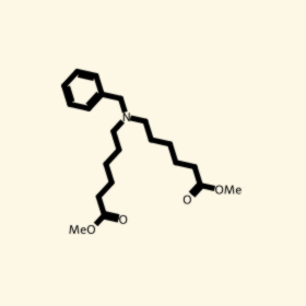 COC(=O)CCCCCN(CCCCCC(=O)OC)Cc1ccccc1